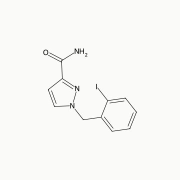 NC(=O)c1ccn(Cc2ccccc2I)n1